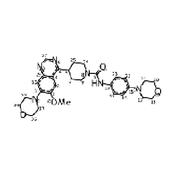 COc1cc2c(C3CCN(C(=O)Nc4ccc(N5CCOCC5)cc4)CC3)ncnc2cc1N1CCOCC1